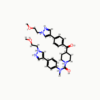 COCCn1cc(-c2ccc(C(=O)C3CCN(C(=O)N(C)c4ccc(-c5cnn(CCOC)c5)cc4)CC3)cc2)cn1